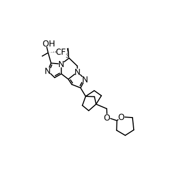 C[C@H]1Cn2nc(C34CCC(COC5CCCCO5)(CC3)C4)cc2-c2cnc([C@@](C)(O)C(F)(F)F)n21